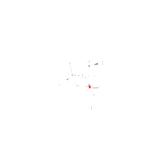 CC(C)(C)OC(=O)N1[C@@H]2CC[C@H]1CC(I)C2